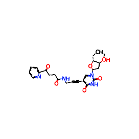 CC[C@H]1OC(n2cc(C#CCNC(=O)CCC(=O)c3ccccn3)c(=O)[nH]c2=O)C[C@@H]1O